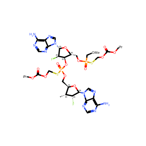 COCP(=O)(OC[C@H]1O[C@@H](n2cnc3c(N)ncnc32)[C@H](F)[C@@H]1OP(=O)(OC[C@H]1O[C@@H](n2cnc3c(N)ncnc32)[C@H](F)[C@@H]1C)SCOC(=O)OC(C)C)SCOC(=O)OC(C)C